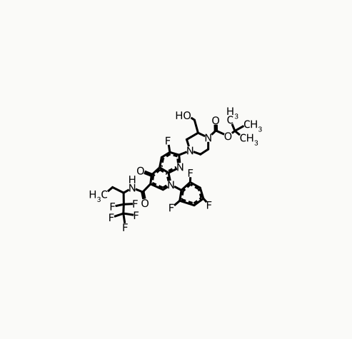 CCC(NC(=O)c1cn(-c2c(F)cc(F)cc2F)c2nc(N3CCN(C(=O)OC(C)(C)C)C(CO)C3)c(F)cc2c1=O)C(F)(F)C(F)(F)F